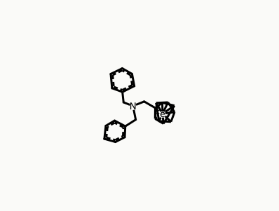 c1ccc(CN(Cc2ccccc2)C[C]23[CH]4[CH]5[CH]6[CH]2[Fe]56432789[CH]3[CH]2[CH]7[CH]8[CH]39)cc1